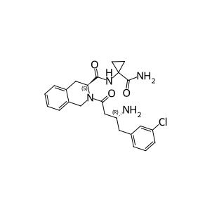 NC(=O)C1(NC(=O)[C@@H]2Cc3ccccc3CN2C(=O)C[C@H](N)Cc2cccc(Cl)c2)CC1